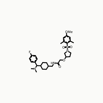 COc1cc(C)c(S(=O)(=O)N2CCC(OCC(=O)NCC3CCC(C(c4ccc(F)cc4)N(C)C)CC3)C2)c(C)c1